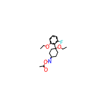 CCOc1cccc(F)c1C1(OCC)CCC(=NOC(C)=O)CC1